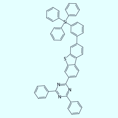 c1ccc(-c2nc(-c3ccccc3)nc(-c3ccc4c(c3)sc3cc(-c5cccc([Si](c6ccccc6)(c6ccccc6)c6ccccc6)c5)ccc34)n2)cc1